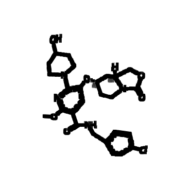 COc1nc(N2CCC(O)CC2)c(O[C@H]2CCN3C(=O)OC[C@@H]3C2)cc1C(=O)NCc1ccc(Cl)cc1